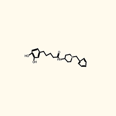 O=C(CCCCc1ccc(O)c(O)c1)NC1CCN(Cc2ccccc2)CC1